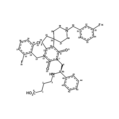 O=C(O)CCCN[C@@H](Cn1c(=O)c2c(n(Cc3c(F)cccc3C(F)(F)F)c1=O)CCC21CCN(Cc2cccc(F)c2)CC1)c1ccccc1